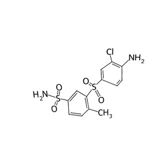 Cc1ccc(S(N)(=O)=O)cc1S(=O)(=O)c1ccc(N)c(Cl)c1